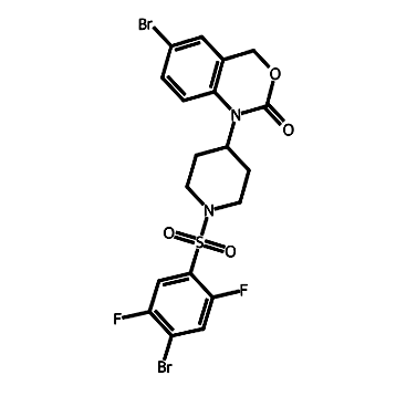 O=C1OCc2cc(Br)ccc2N1C1CCN(S(=O)(=O)c2cc(F)c(Br)cc2F)CC1